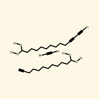 C#CCCCCCCCCCC(OCC)OCC.CCC#CBr.CCC#CC#CCCCCCCCCCC(OCC)OCC